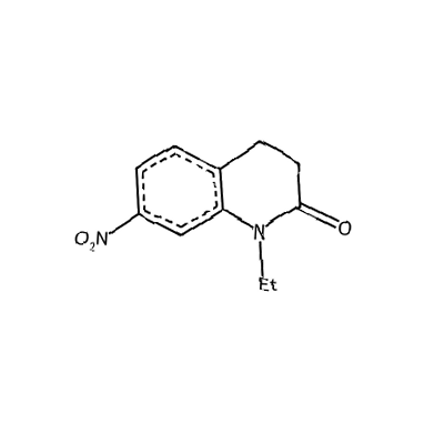 CCN1C(=O)CCc2ccc([N+](=O)[O-])cc21